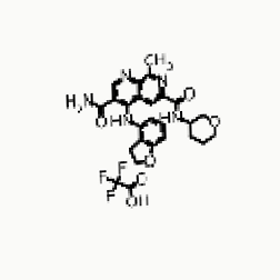 Cc1nc(C(=O)NC2CCCOC2)cc2c(Nc3cccc4c3CCO4)c(C(N)=O)cnc12.O=C(O)C(F)(F)F